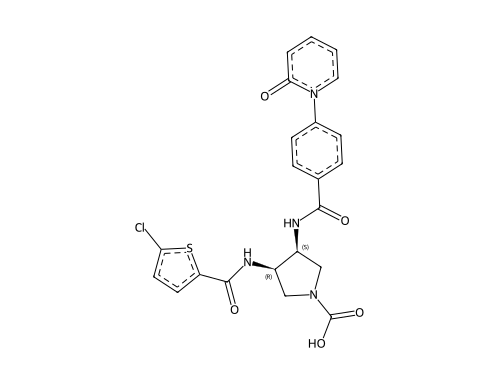 O=C(N[C@H]1CN(C(=O)O)C[C@H]1NC(=O)c1ccc(Cl)s1)c1ccc(-n2ccccc2=O)cc1